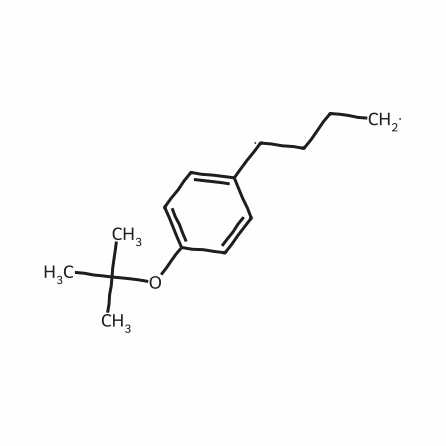 [CH2]CC[CH]c1ccc(OC(C)(C)C)cc1